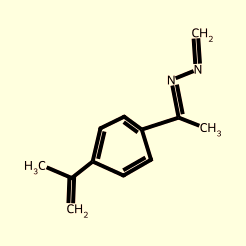 C=NN=C(C)c1ccc(C(=C)C)cc1